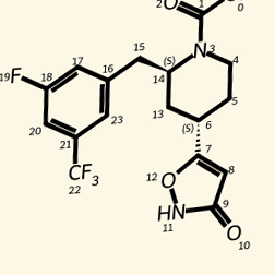 COC(=O)N1CC[C@H](c2cc(=O)[nH]o2)C[C@H]1Cc1cc(F)cc(C(F)(F)F)c1